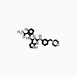 NC(=O)C1C(Nc2nc(Nc3cccc(CN4CCOCC4)c3)nc3[nH]ccc23)[C@H]2C=C[C@@H]1C2